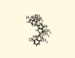 Cc1cccc(Cl)c1NC(=O)N1Cc2c(NC(=O)C3(S(C)(C)C)CCC3)n[nH]c2C1(C)C